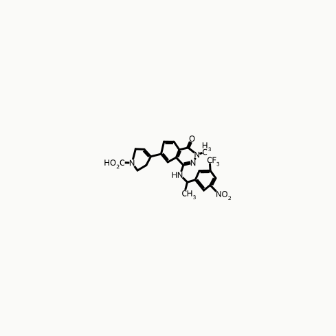 CC(Nc1nn(C)c(=O)c2ccc(C3=CCN(C(=O)O)CC3)cc12)c1cc([N+](=O)[O-])cc(C(F)(F)F)c1